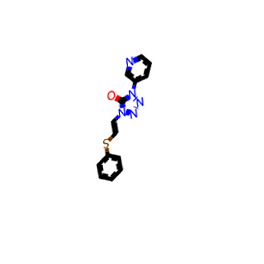 O=c1n(/C=C/Sc2ccccc2)nnn1-c1cccnc1